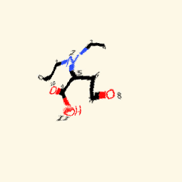 CCN(CC)C(C[C]=O)C(=O)O